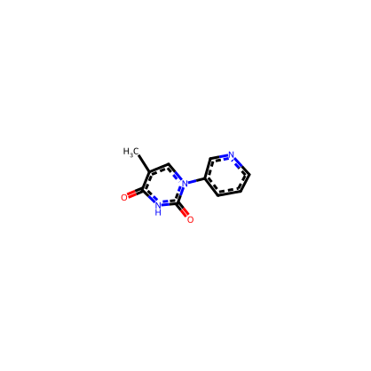 Cc1cn(-c2cccnc2)c(=O)[nH]c1=O